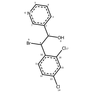 OC(c1cccnc1)C(Br)c1ccc(Cl)cc1Cl